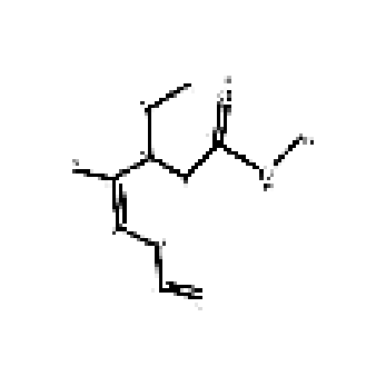 C=CCC=C(C)C(CC)CC(=O)OC